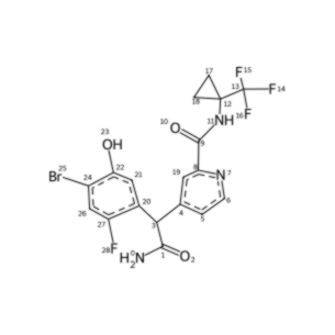 NC(=O)C(c1ccnc(C(=O)NC2(C(F)(F)F)CC2)c1)c1cc(O)c(Br)cc1F